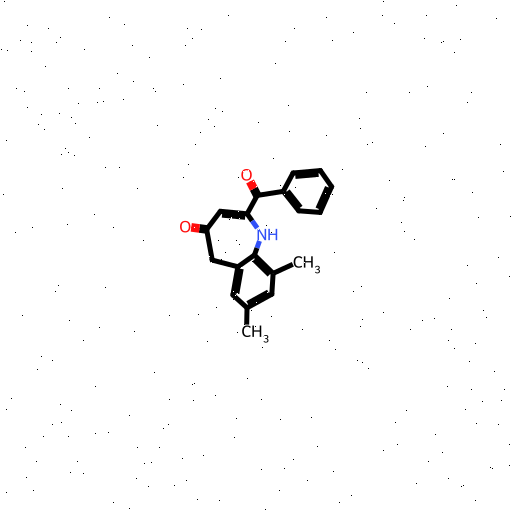 Cc1cc(C)c2c(c1)CC(=O)C=C(C(=O)c1ccccc1)N2